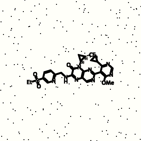 CCS(=O)(=O)c1ccc(CNc2nc3cnc(-c4c(OC)ncnc4C4CC4)nc3n([C@H]3C[C@@H]3C(F)(F)F)c2=O)nc1